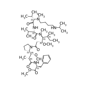 CC[C@H](C)[C@@H]([C@@H](CC(=O)N1CCC[C@H]1[C@H](OC)[C@@H](C)C(=O)N[C@@H](Cc1ccccc1)C(=O)OC)OC)N(C)C(=O)[C@@H](NC(=O)[C@H](C(C)C)N(C)CCCCNC(C)C)C(C)C